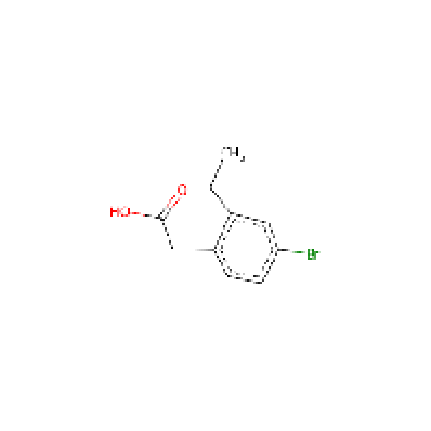 CCc1cc(Br)ccc1CC(=O)O